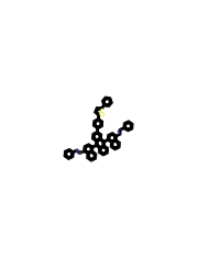 C(=C\c1ccc(-c2c3ccccc3c(-c3ccc(/C=C/c4ccccc4)c4ccccc34)c3cc(-c4ccc(-c5ccc(-c6ccccc6)s5)cc4)ccc23)c2ccccc12)/c1ccccc1